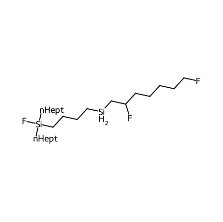 CCCCCCC[Si](F)(CCCCCCC)CCCC[SiH2]CC(F)CCCCCF